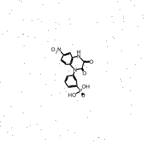 O=c1[nH]c2cc([N+](=O)[O-])ccc2n(-c2cccc(P(=O)(O)O)c2)c1=O